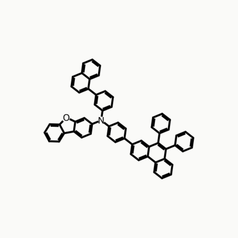 c1ccc(-c2c(-c3ccccc3)c3cc(-c4ccc(N(c5cccc(-c6cccc7ccccc67)c5)c5ccc6c(c5)oc5ccccc56)cc4)ccc3c3ccccc23)cc1